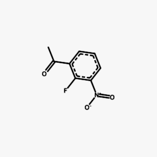 CC(=O)c1cccc([N+](=O)[O-])c1F